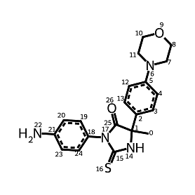 CC1(c2ccc(N3CCOCC3)cc2)NC(=S)N(c2ccc(N)cc2)C1=O